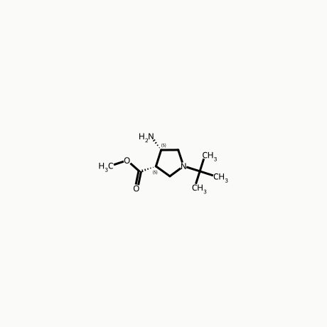 COC(=O)[C@H]1CN(C(C)(C)C)C[C@H]1N